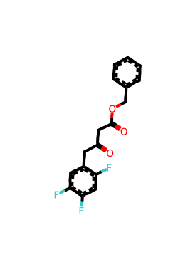 O=C(CC(=O)OCc1ccccc1)Cc1cc(F)c(F)cc1F